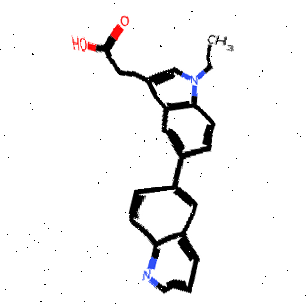 CCn1cc(CC(=O)O)c2cc(-c3ccc4ncccc4c3)ccc21